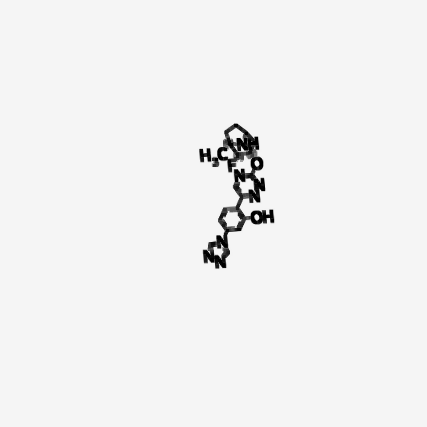 C[C@@]12CCC(C[C@H](Oc3ncc(-c4ccc(-n5cnnc5)cc4O)nn3)[C@@H]1F)N2